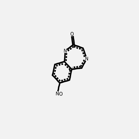 O=Nc1ccc2nc(=O)cncc2c1